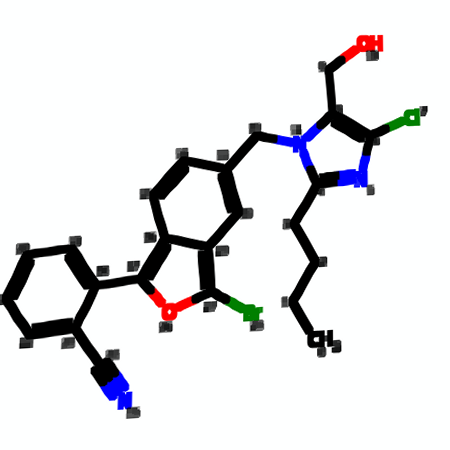 CCCCc1nc(Cl)c(CO)n1Cc1ccc2c(-c3ccccc3C#N)oc(Br)c2c1